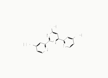 Cc1ccnc(-c2cc(C)nc(-c3cc(C)ccn3)n2)c1